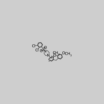 COc1ccc(Cc2csc(N3CCN(S(=O)(=O)c4cccc(Cl)c4Cl)CC3)n2)c(OC)c1